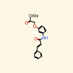 COC(=O)COc1cccc(NC(=O)/C=C/c2ccccc2)c1